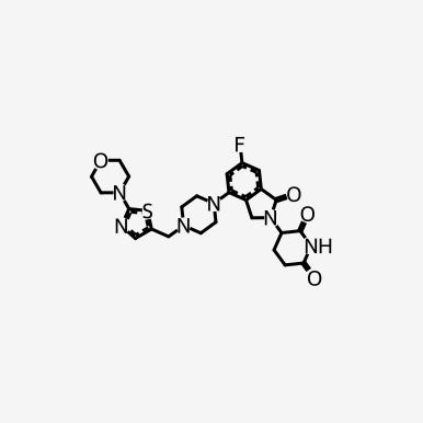 O=C1CCC(N2Cc3c(cc(F)cc3N3CCN(Cc4cnc(N5CCOCC5)s4)CC3)C2=O)C(=O)N1